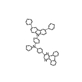 c1ccc(-c2ccc3c(c2)c2cc(-c4ccccc4)ccc2n3-c2ccc(N(c3ccccc3)c3ccc(-c4cnc5c6ccccc6c6ccccc6c5n4)cc3)cc2)cc1